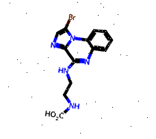 O=C(O)NCCNc1nc2ccccc2n2c(Br)cnc12